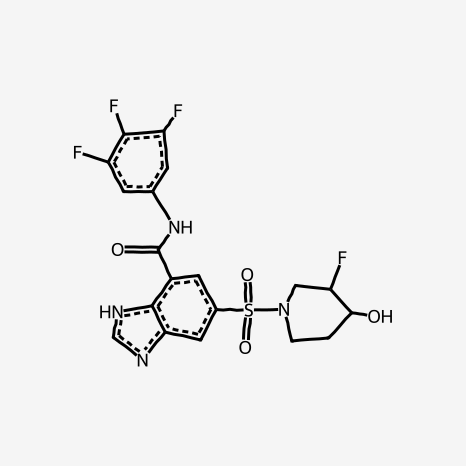 O=C(Nc1cc(F)c(F)c(F)c1)c1cc(S(=O)(=O)N2CCC(O)C(F)C2)cc2nc[nH]c12